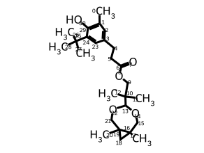 Cc1cc(CCC(=O)OCC(C)(C)C2OCC3(C)CC3(C)CO2)cc(C(C)(C)C)c1O